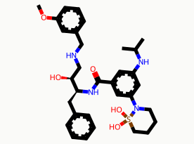 COc1cccc(CNC[C@H](O)[C@H](Cc2ccccc2)NC(=O)c2cc(NC(C)C)cc(N3CCCCS3(O)O)c2)c1